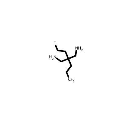 NCC(CN)(CCF)CCC(F)(F)F